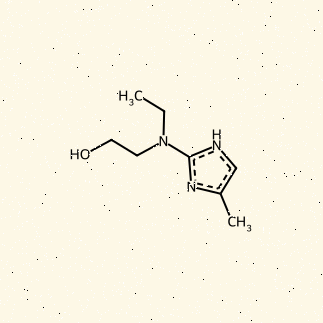 CCN(CCO)c1nc(C)c[nH]1